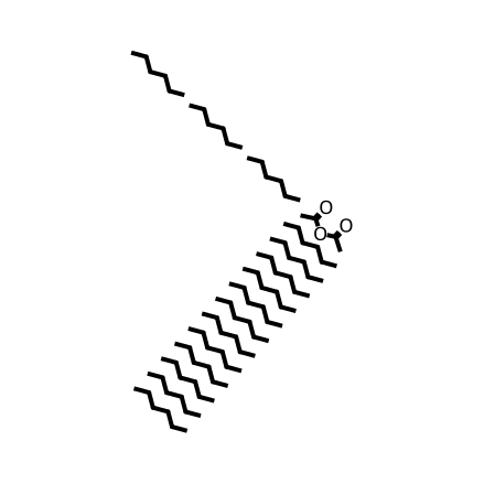 CC(=O)OC(C)=O.CCCCCC.CCCCCC.CCCCCC.CCCCCC.CCCCCC.CCCCCC.CCCCCC.CCCCCC.CCCCCC.CCCCCC.CCCCCC.CCCCCC.CCCCCC.CCCCCC.CCCCCC